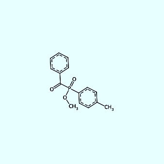 COP(=O)(C(=O)c1ccccc1)c1ccc(C)cc1